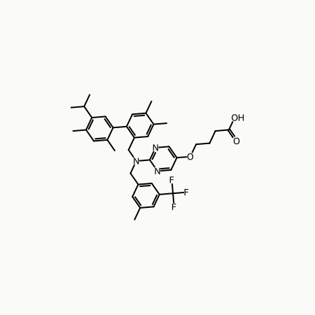 Cc1cc(CN(Cc2cc(C)c(C)cc2-c2cc(C(C)C)c(C)cc2C)c2ncc(OCCCC(=O)O)cn2)cc(C(F)(F)F)c1